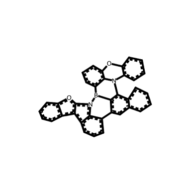 c1ccc2c(c1)Oc1cccc3c1N2c1c2c(cc4ccccc14)-c1cccc4c5c6ccccc6oc5n(c14)B32